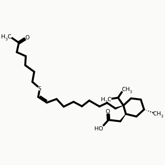 CC(=O)CCCCCS/C=C\CCCCCCCC[C@@]1(C(C)C)CC[C@H](C)C[C@H]1CC(=O)O